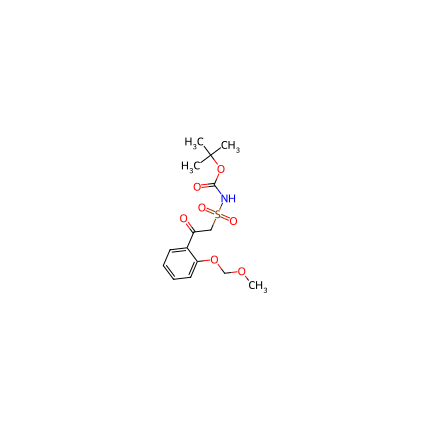 COCOc1ccccc1C(=O)CS(=O)(=O)NC(=O)OC(C)(C)C